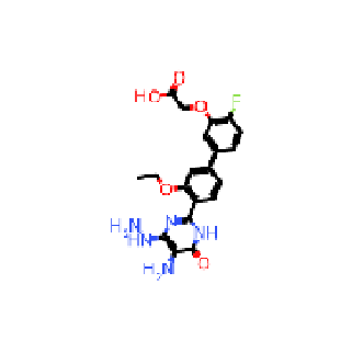 CCOc1cc(-c2ccc(F)c(OCC(=O)O)c2)ccc1-c1nc(NN)c(N)c(=O)[nH]1